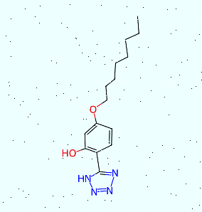 CCCCCCCCOc1ccc(-c2nnn[nH]2)c(O)c1